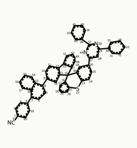 N#Cc1ccc(-c2ccc(-c3ccc4c(c3)C3(c5ccccc5Sc5ccc(-c6cc(-c7ccccc7)nc(-c7ccccc7)n6)cc53)c3ccccc3-4)c3ccccc23)cc1